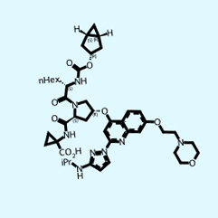 CCCCCC[C@H](NC(=O)O[C@@H]1C[C@@H]2C[C@@H]2C1)C(=O)N1C[C@H](Oc2cc(-n3ccc(NC(C)C)n3)nc3cc(OCCN4CCOCC4)ccc23)C[C@H]1C(=O)NC1(C(=O)O)CC1